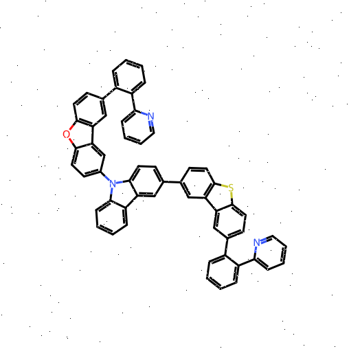 c1ccc(-c2ccccc2-c2ccc3oc4ccc(-n5c6ccccc6c6cc(-c7ccc8sc9ccc(-c%10ccccc%10-c%10ccccn%10)cc9c8c7)ccc65)cc4c3c2)nc1